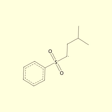 CC(C)C[CH]S(=O)(=O)c1ccccc1